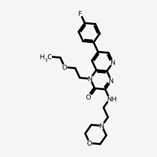 CCOCCn1c(=O)c(NCCN2CCOCC2)nc2ncc(-c3ccc(F)cc3)cc21